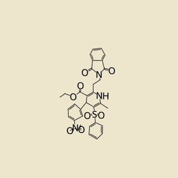 CCOC(=O)C1=C(CCN2C(=O)c3ccccc3C2=O)NC(C)=C(S(=O)(=O)c2ccccc2)C1c1cccc([N+](=O)[O-])c1